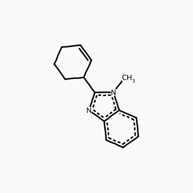 Cn1c(C2C=CCCC2)nc2ccccc21